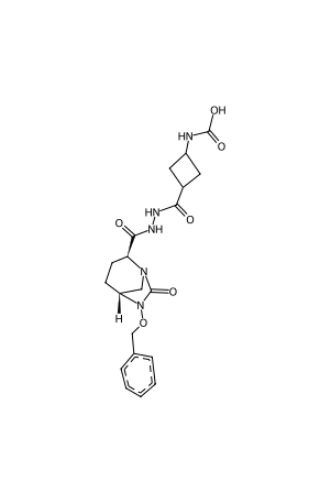 O=C(O)NC1CC(C(=O)NNC(=O)[C@@H]2CC[C@@H]3CN2C(=O)N3OCc2ccccc2)C1